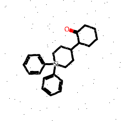 O=C1CCCCC1C1CC[Si](c2ccccc2)(c2ccccc2)CC1